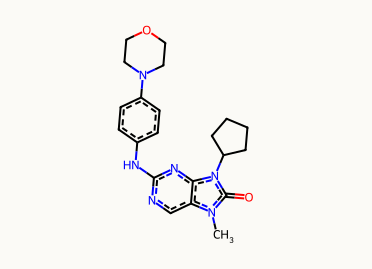 Cn1c(=O)n(C2CCCC2)c2nc(Nc3ccc(N4CCOCC4)cc3)ncc21